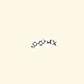 Cn1c(=O)oc2ccc(-c3ccc(CC(C#N)NC(=O)C4CNCC5(COC5)CO4)cc3)cc21